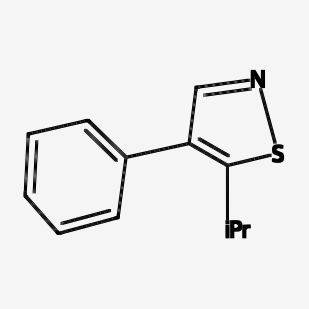 CC(C)c1sncc1-c1ccccc1